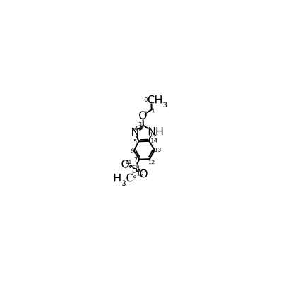 CCOc1nc2cc(S(C)(=O)=O)ccc2[nH]1